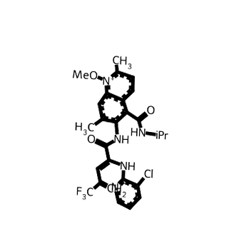 C=C(/C=C(\Nc1ncccc1Cl)C(=O)Nc1c(C)cc2c(ccc(C)[n+]2OC)c1C(=O)NC(C)C)C(F)(F)F